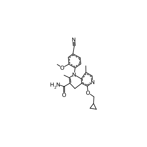 COc1cc(C#N)ccc1N1C(C)=C(C(N)=O)Cc2c(OCC3CC3)ncc(C)c21